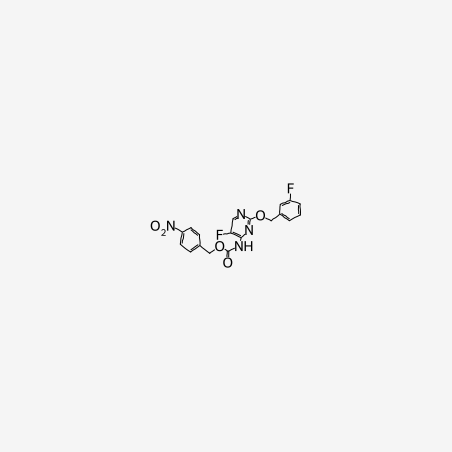 O=C(Nc1nc(OCc2cccc(F)c2)ncc1F)OCc1ccc([N+](=O)[O-])cc1